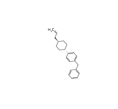 C=CC[C@H]1CC[C@H](c2ccc(Cc3[c]cccc3)cc2)CC1